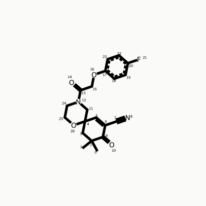 CC1(C)CC2(C=C(C#N)C1=O)CN(C(=O)COc1ccc(F)cc1)CCO2